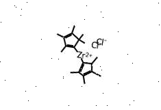 CC1=C(C)C(C)[C]([Zr+2][C]2=C(C)C(C)=C(C)C2(C)C)=C1C.[Cl-].[Cl-]